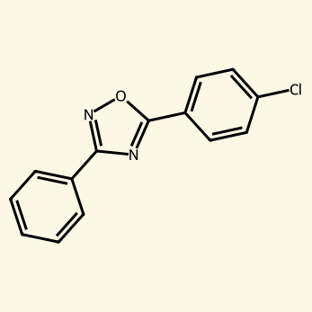 Clc1ccc(-c2nc(-c3ccccc3)no2)cc1